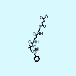 COC(=O)CCC(=O)SCCNC(=O)CCNC(=O)[C@H]1OP(=O)(OCc2ccccc2)OCC1(C)C